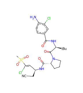 CC(C)(C)[C@H](NC(=O)c1ccc(N)c(Cl)c1)C(=O)N1CCC[C@@H]1C(=O)N[C@H](/C=C(\Cl)S(C)(=O)=O)CC#N